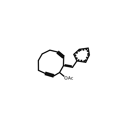 CC(=O)OC1C#CCCCCC#C/C1=C\c1ccccc1